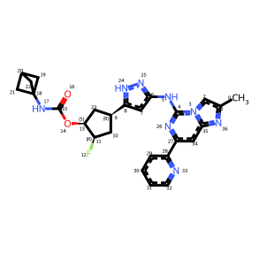 Cc1cn2c(Nc3cc([C@H]4C[C@@H](F)[C@@H](OC(=O)NC56CC(C5)C6)C4)[nH]n3)nc(-c3ccccn3)cc2n1